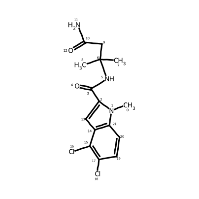 Cn1c(C(=O)NC(C)(C)CC(N)=O)cc2c(Cl)c(Cl)ccc21